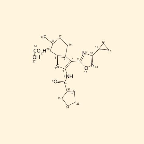 O=C(Nc1sc2c(c1-c1nc(C3CC3)no1)CCC(F)C2)C1=CCCC1.O=C(O)O